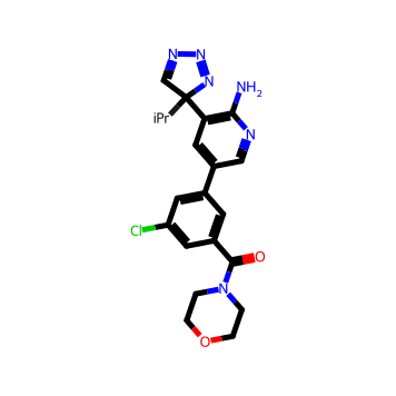 CC(C)C1(c2cc(-c3cc(Cl)cc(C(=O)N4CCOCC4)c3)cnc2N)C=NN=N1